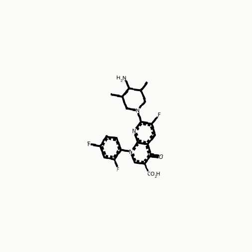 CC1CN(c2nc3c(cc2F)c(=O)c(C(=O)O)cn3-c2ccc(F)cc2F)CC(C)C1N